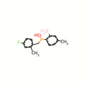 Bc1cc(C)ccc1P(O)Cc1ccc(F)cc1C